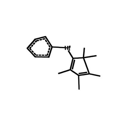 CC1=C(C)C(C)(C)[C]([Hf][c]2ccccc2)=C1C